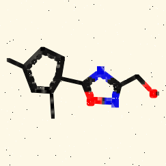 Cc1ccc(-c2nc(C[O])no2)c(C)c1